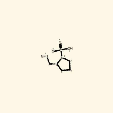 COC[C@@H]1CCCN1P(=O)(O)Cl